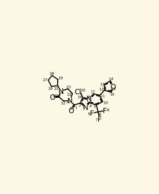 O=C(c1nc2c(C(F)(F)F)cc(-c3ccoc3)cn2c1Cl)N1CCN(C2CCCC2)C(=O)C1